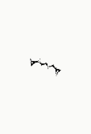 C(COC1CO1)OCC1CO1